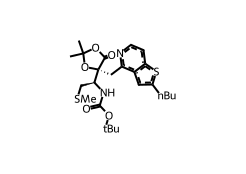 CCCCc1cc2c(C[C@]3([C@H](CSC)NC(=O)OC(C)(C)C)OC(C)(C)OC3=O)nccc2s1